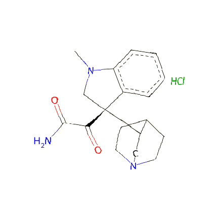 CN1C[C@@](C(=O)C(N)=O)(C2CN3CCC2CC3)c2ccccc21.Cl